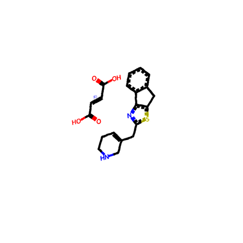 C1=C(Cc2nc3c(s2)Cc2ccccc2-3)CNCC1.O=C(O)/C=C/C(=O)O